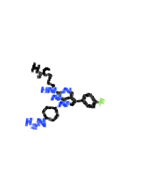 CCCCNc1ncc2c(-c3ccc(F)cc3)cn([C@H]3CC[C@H](N)CC3)c2n1